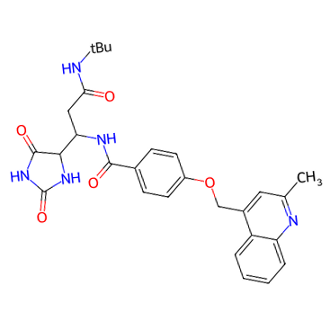 Cc1cc(COc2ccc(C(=O)NC(CC(=O)NC(C)(C)C)C3NC(=O)NC3=O)cc2)c2ccccc2n1